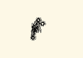 CC1=C(C(=O)OC(c2ccccc2)c2ccccc2)N2C(=O)C(NC(=O)COc3ccccc3)[C@H]2SC1